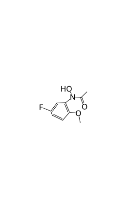 COc1ccc(F)cc1N(O)C(C)=O